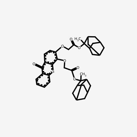 CC1(OC(=O)COc2ccc3c(=O)c4ccccc4sc3c2OCC(=O)OC2(C)C3CC4CC(C3)CC2C4)C2CC3CC(C2)CC1C3